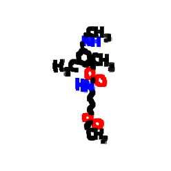 C=CC(=O)OCCCCCNC(=O)OCC1(C)C[C@@H](C)C[C@@H](CNCC)C1